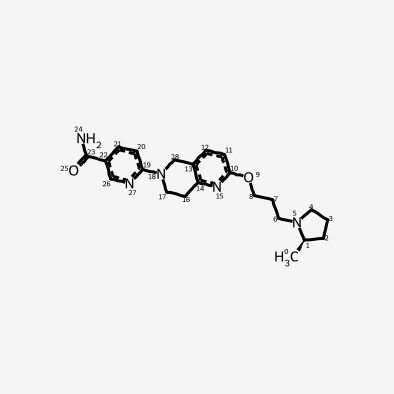 C[C@@H]1CCCN1CCCOc1ccc2c(n1)CCN(c1ccc(C(N)=O)cn1)C2